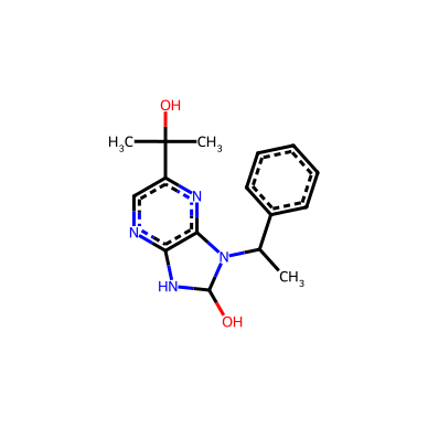 CC(c1ccccc1)N1c2nc(C(C)(C)O)cnc2NC1O